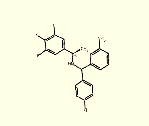 C[C@@H](NC(c1ccc(Cl)cc1)c1cccc(N)c1)c1cc(F)c(F)c(F)c1